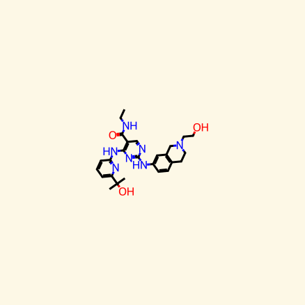 CCNC(=O)c1cnc(Nc2ccc3c(c2)CN(CCO)CC3)nc1Nc1cccc(C(C)(C)O)n1